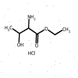 CCOC(=O)C(N)C(C)O.Cl